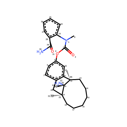 CN(C(=O)Oc1ccc2c(c1)[C@@]1(C)CCCCCC[C@@H](C2)[C@@H]1N)c1ccccc1C(N)=O